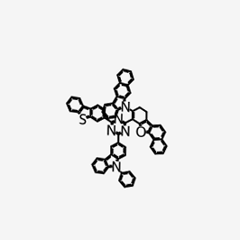 c1ccc(-n2c3ccccc3c3cc(-c4nc(C5=C(n6c7ccccc7c7cc8ccccc8cc76)CCc6c5oc5c6ccc6ccccc65)nc(-c5ccc6c(c5)sc5ccccc56)n4)ccc32)cc1